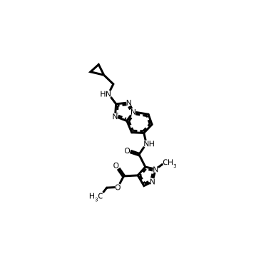 CCOC(=O)c1cnn(C)c1C(=O)Nc1ccn2nc(NCC3CC3)nc2c1